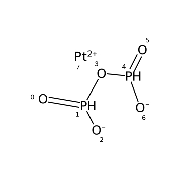 O=[PH]([O-])O[PH](=O)[O-].[Pt+2]